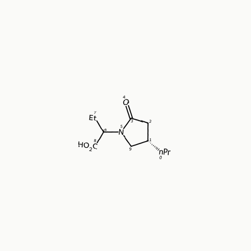 CCC[C@H]1CC(=O)N(C(CC)C(=O)O)C1